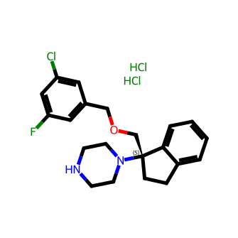 Cl.Cl.Fc1cc(Cl)cc(COC[C@]2(N3CCNCC3)CCc3ccccc32)c1